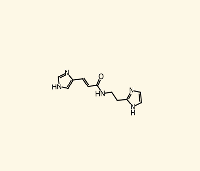 O=C(/C=C/c1c[nH]cn1)NCCc1ncc[nH]1